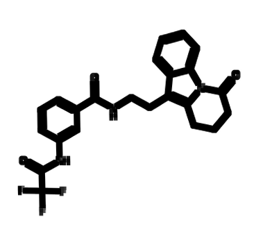 O=C(NCCc1c2n(c3ccccc13)C(=O)CCC2)c1cccc(NC(=O)C(F)(F)F)c1